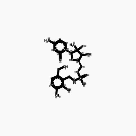 Cc1ncc(CO)c(CNP(=O)(O)OC[C@H]2O[C@@H](n3ccc(N)nc3=O)C(C)(F)C2O)c1O